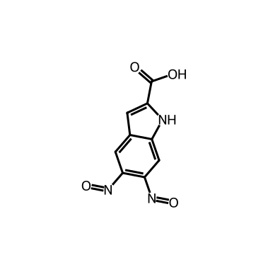 O=Nc1cc2cc(C(=O)O)[nH]c2cc1N=O